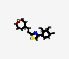 Cc1ccc(-c2csc(CCC3CCCOCC3)n2)c(C)c1C